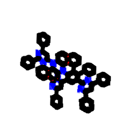 c1ccc(-c2cc(-c3cc(-c4nc(-c5ccccc5)cc(-c5ccccc5)n4)c(-c4ccccc4)c(-c4ccccc4)c3N3c4ccccc4N(c4cc(-c5ccccc5)nc(-c5ccccc5)n4)c4ccccc43)nc(-c3ccccc3)n2)cc1